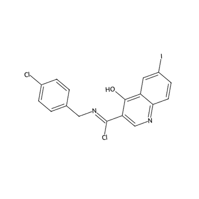 Oc1c(C(Cl)=NCc2ccc(Cl)cc2)cnc2ccc(I)cc12